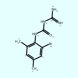 Cc1cc(C)c(NC(=O)NC(=N)N)c(Br)c1